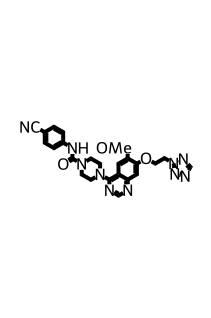 COc1cc2c(N3CCN(C(=O)Nc4ccc(C#N)cc4)CC3)ncnc2cc1OCCn1ncnn1